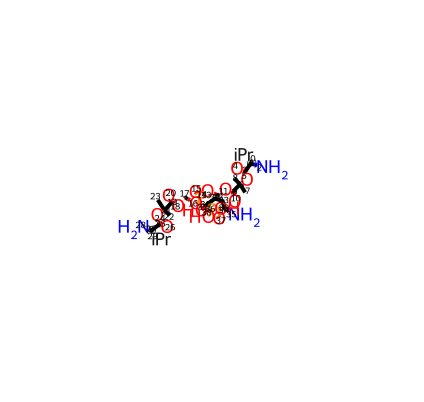 CC(C)[C@H](N)C(=O)OC(C)(C)C(=O)OCOP(=O)(OCOC(=O)C(C)(C)OC(=O)[C@@H](N)C(C)C)C(O)(CCCN)P(=O)(O)O